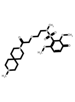 COC1=C(S(=O)(=O)N(C)CCOCC(=O)N2CCC3(CCN(C)CC3)CC2)C(OC)C(=O)C=C1